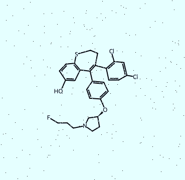 Oc1ccc2c(c1)C(c1ccc(O[C@H]3CCN(CCCF)C3)cc1)=C(c1ccc(Cl)cc1Cl)CCS2